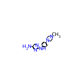 CN1CCN(c2ccc(Nc3ncc(N)cn3)cc2)CC1